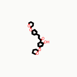 O=C(/C=C/c1ccc(OC2CCCCO2)cc1)c1ccc(OC2CCCCO2)cc1O